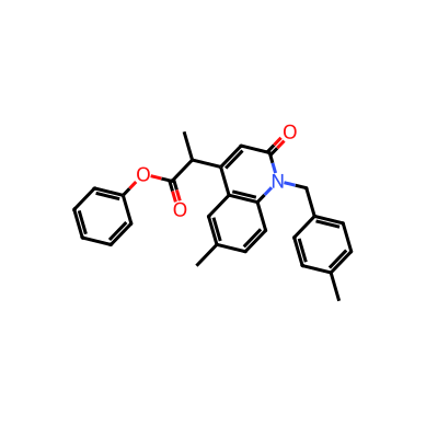 Cc1ccc(Cn2c(=O)cc(C(C)C(=O)Oc3ccccc3)c3cc(C)ccc32)cc1